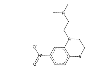 CN(C)CCN1CCSc2ccc([N+](=O)[O-])cc21